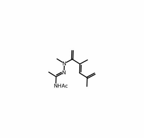 C=C(C)/C=C(\C)C(=C)N(C)/N=C(\C)NC(C)=O